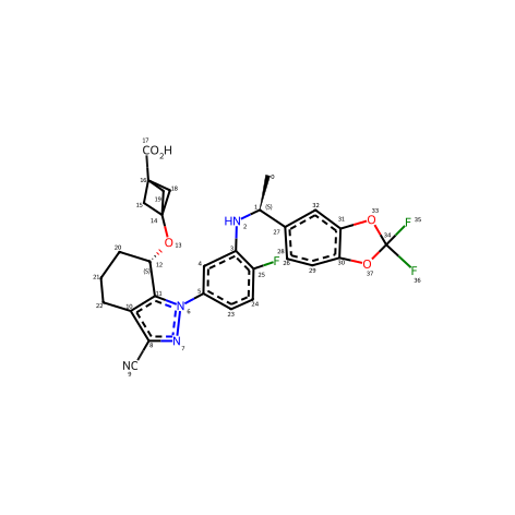 C[C@H](Nc1cc(-n2nc(C#N)c3c2[C@@H](OC24CC(C(=O)O)(C2)C4)CCC3)ccc1F)c1ccc2c(c1)OC(F)(F)O2